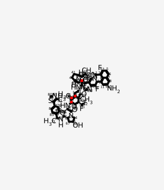 C#Cc1c(F)ccc2cc(N)cc(-c3nc4c5c(nc(OC[C@]6(C)CN(C)CC[C@@H]6C(F)F)nc5c3F)N3C[C@H]5CC[C@@H]([C@H]3[C@H](C)O4)N5C(=O)[C@H](CC)NCCCCC(=O)N[C@H](C(=O)N3C[C@H](O)C[C@H]3C(=O)N[C@@H](C)c3ccc(-c4scnc4C)cc3)C(C)(C)C)c12